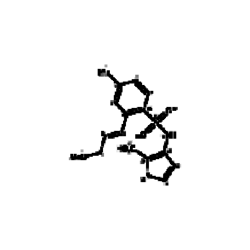 COCC=Cc1cc(C(C)(C)C)ccc1S(=O)(=O)Nc1ccsc1C(=O)O